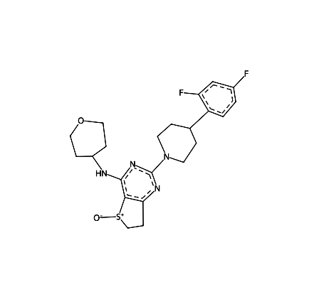 [O-][S+]1CCc2nc(N3CCC(c4ccc(F)cc4F)CC3)nc(NC3CCOCC3)c21